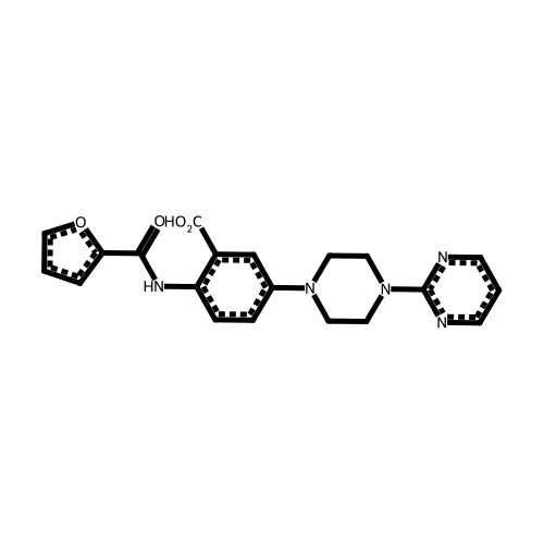 O=C(Nc1ccc(N2CCN(c3ncccn3)CC2)cc1C(=O)O)c1ccco1